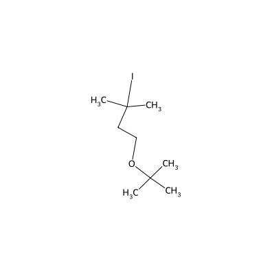 CC(C)(I)CCOC(C)(C)C